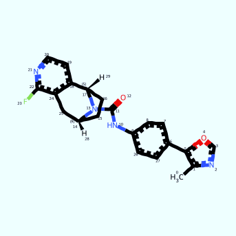 Cc1ncoc1-c1ccc(NC(=O)N2[C@@H]3CC[C@H]2c2ccnc(F)c2C3)cc1